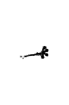 CCCCCCCCCCCCCCCC(=O)OCC(O)CO[C@@H]1O[C@H](COCc2ccccc2)[C@@H](OCc2ccccc2)[C@H](OCc2ccccc2)[C@@H]1OCc1ccccc1